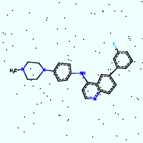 CN1CCN(c2ccc(Nc3ccnc4ccc(-c5cccc(F)c5)cc34)cc2)CC1